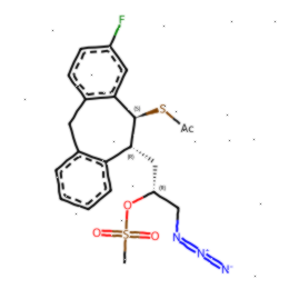 CC(=O)S[C@@H]1c2cc(F)ccc2Cc2ccccc2[C@H]1C[C@H](CN=[N+]=[N-])OS(C)(=O)=O